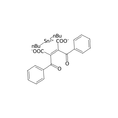 CCC[CH2][Sn+2][CH2]CCC.O=C([O-])/C(C(=O)c1ccccc1)=C(\C(=O)[O-])C(=O)c1ccccc1